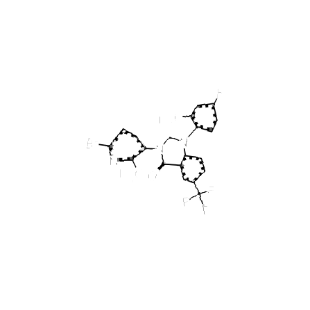 Cc1cc(F)ccc1N1CN(c2ccc(Br)nc2C)C(=O)c2cc(C(F)(F)F)ccc21